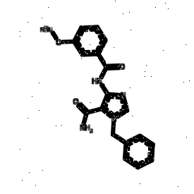 CCCCOc1cccc(C(=O)Nc2ncn(Cc3ccccc3)c2C(N)=O)c1